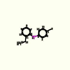 Cc1ccc([I+]c2ccccc2CC(C)C)cc1